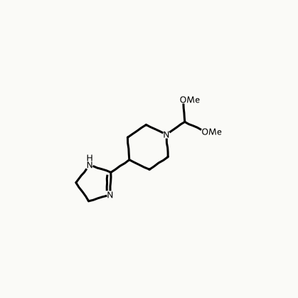 COC(OC)N1CCC(C2=NCCN2)CC1